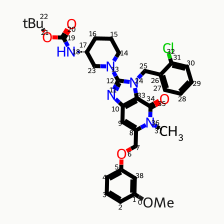 COc1cccc(OCc2cc3nc(N4CCC[C@@H](NC(=O)OC(C)(C)C)C4)n(Cc4ccccc4Cl)c3c(=O)n2C)c1